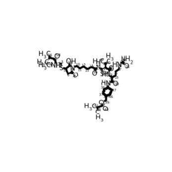 CN[C@@H](CSC1CC(=O)N(CCCCCC(=O)NC([SiH3])[C@H](C(=O)NC(CCCNC(N)=O)C(=O)Nc2ccc(COC(=O)C(C)C)cc2)C(C)C)C1O)C(=O)C(C)C